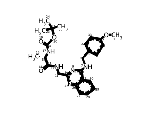 COc1ccc(CNc2nc(CNC(=O)[C@H](C)NC(=O)OC(C)(C)C)nc3ccccc23)cc1